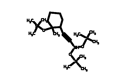 CC1(O[Si](C)(C)C)CCCCC1C#C[SiH](O[Si](C)(C)C)O[Si](C)(C)C